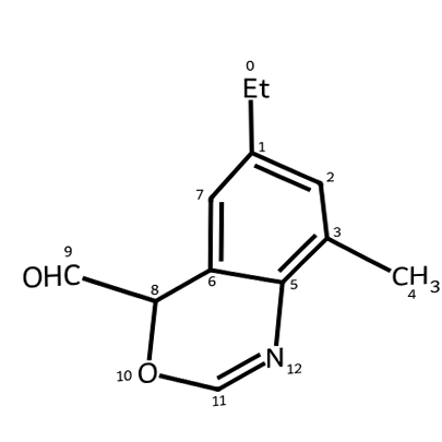 CCc1cc(C)c2c(c1)C(C=O)OC=N2